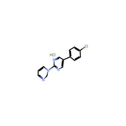 Cl.Clc1ccc(-c2cnc(N3C=CC=NC3)nc2)cc1